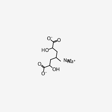 CC(CC(O)C(=O)[O-])CC(O)C(=O)[O-].[Na+].[Na+]